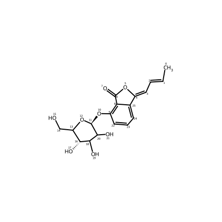 C/C=C/C=C1\OC(=O)c2c(O[C@@H]3OC(CO)[C@@H](O)C(O)C3O)cccc21